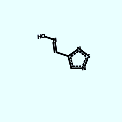 ON=Cc1cnsn1